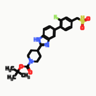 CC(C)(C)OC(=O)N1CCC(c2nc3cc(-c4ccc(C[SH](=O)=O)cc4F)ccc3[nH]2)CC1